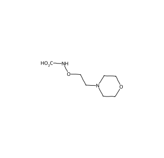 O=C(O)NOCCN1CCOCC1